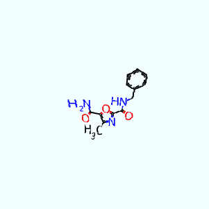 Cc1nc(C(=O)NCc2ccccc2)oc1C(N)=O